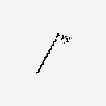 C=C(C)C(=O)O.C=C(C)C(=O)O.CCCCCCCCCCCCCCCCCCC.OCCO